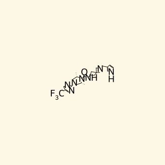 C[C@@H]1CN(c2ncc(C(F)(F)F)cn2)C[C@H](C)N1C(=O)NC1CC2(C1)CN(Cc1cc[nH]c1)C2